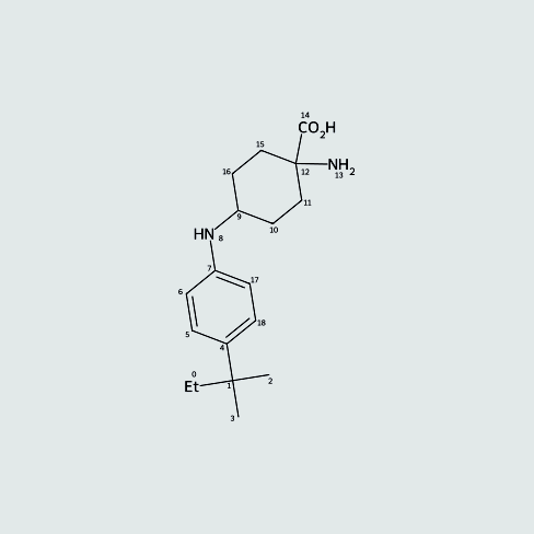 CCC(C)(C)c1ccc(NC2CCC(N)(C(=O)O)CC2)cc1